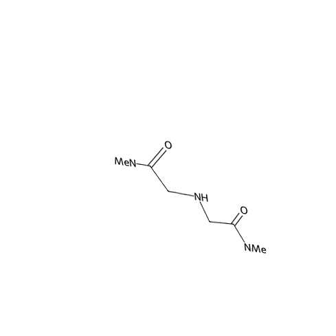 CNC(=O)CNCC(=O)NC